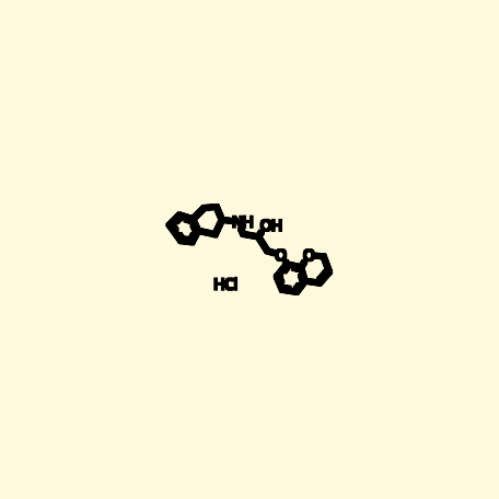 Cl.OC(CNC1CCc2ccccc2C1)COc1cccc2c1OCC=C2